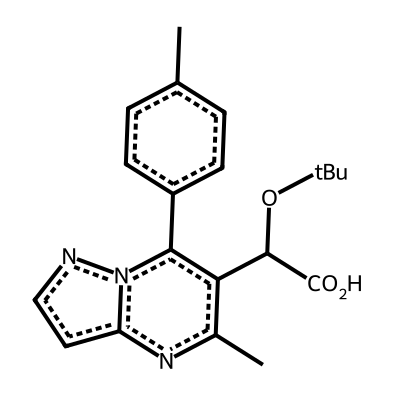 Cc1ccc(-c2c(C(OC(C)(C)C)C(=O)O)c(C)nc3ccnn23)cc1